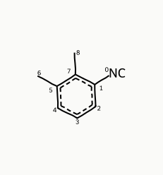 [C-]#[N+]c1cccc(C)c1C